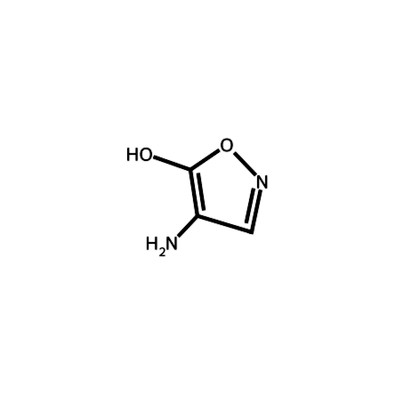 Nc1cnoc1O